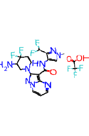 Cn1cc(NC(=O)c2c(N3CCC(F)(F)C(N)C3)nn3cccnc23)c(C(F)F)n1.O=C(O)C(F)(F)F